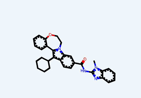 Cn1c(NC(=O)c2ccc3c(C4CCCCC4)c4n(c3c2)CCOc2ccccc2-4)nc2ccccc21